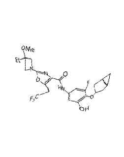 CCC1(OC)CN(c2nc(C(=O)Nc3cc(O)c(OC4CC5CC5C4)c(F)c3)c(CC(F)(F)F)o2)C1